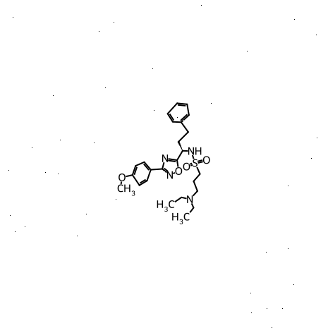 CCN(CC)CCCS(=O)(=O)N[C@H](CCc1ccccc1)c1nc(-c2ccc(OC)cc2)no1